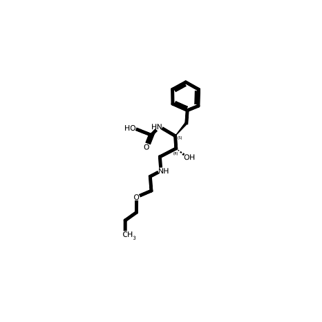 CCCOCCNC[C@@H](O)[C@H](Cc1ccccc1)NC(=O)O